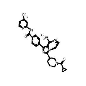 Nc1nccn2c(C3CCCN(C(=O)C4CC4)C3)nc(-c3ccc(C(=O)Nc4cc(C(F)(F)F)ccn4)cc3)c12